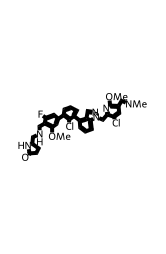 CNCc1cc(Cl)c(Cn2ncc3c(-c4cccc(-c5cc(F)c(CNCC6CCC(=O)N6)c(OC)c5)c4Cl)cccc32)nc1OC